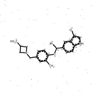 Cc1cc(CN2CC(C(=O)O)C2)ccc1OC(c1ccc2[nH]cc(Cl)c2c1)C(C)C